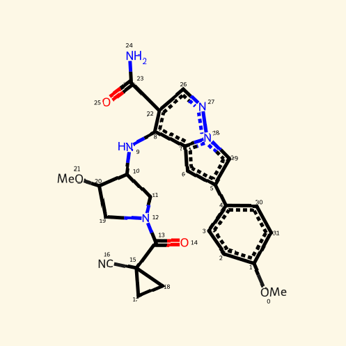 COc1ccc(-c2cc3c(NC4CN(C(=O)C5(C#N)CC5)CC4OC)c(C(N)=O)cnn3c2)cc1